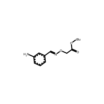 CC(C)(C)OC(=O)CON=Cc1cccc(N)c1